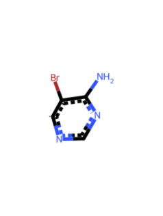 Nc1ncn[c]c1Br